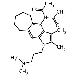 CC(=O)N(C(C)=O)c1c2c(nc3c1c(C)c(C)n3CCCN(C)C)CCCCC2